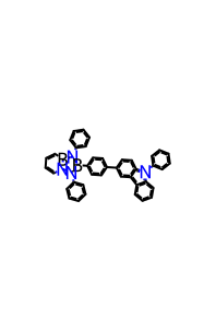 C1=CB2N(c3ccccc3)B(c3ccc(-c4ccc5c(c4)c4ccccc4n5-c4ccccc4)cc3)N(c3ccccc3)N2C=C1